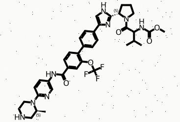 COC(=O)NC(C(=O)N1CCC[C@H]1c1nc(-c2ccc(-c3ccc(C(=O)Nc4ccc(N5CCNC[C@@H]5C)nc4)cc3OC(F)(F)F)cc2)c[nH]1)C(C)C